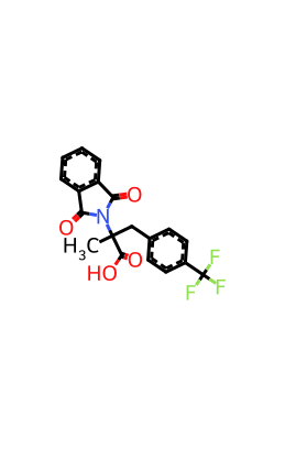 CC(Cc1ccc(C(F)(F)F)cc1)(C(=O)O)N1C(=O)c2ccccc2C1=O